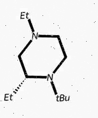 CC[C@@H]1CN(CC)CCN1C(C)(C)C